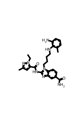 CCn1nc(C)cc1C(=O)Nc1nc2cc(C(N)=O)ccc2n1CCCCNc1c(C)cccc1N